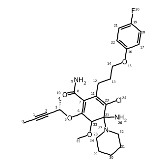 CC#C[C@H](C)OC1=C(C(N)=O)C(CCCOc2ccc(F)cc2)=C(Cl)C(N)(N2CCCCC2)C1OC